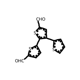 O=Cc1ccc(-c2sc(C=O)cc2-c2cccs2)s1